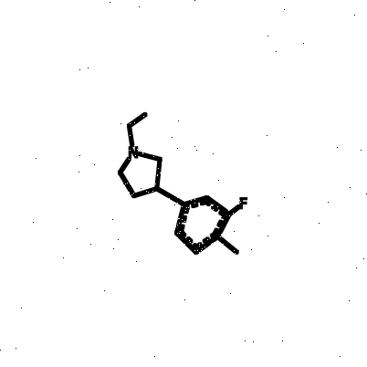 CCN1CCC(c2ccc(C)c(F)c2)C1